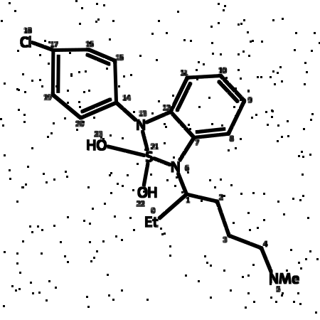 CCC(CCCNC)N1c2ccccc2N(c2ccc(Cl)cc2)S1(O)O